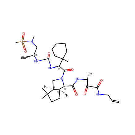 C=CCNC(=O)C(=O)C(CCC)NC(=O)[C@@H]1[C@H]2CCC(C)(C)[C@H]2CN1C(=O)[C@@H](NC(=O)N[C@H](CN(C)S(C)(=O)=O)C(C)(C)C)C1(C)CCCCC1